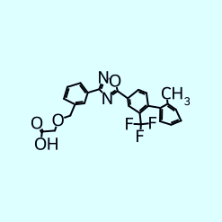 Cc1ccccc1-c1ccc(-c2nc(-c3cccc(COCC(=O)O)c3)no2)cc1C(F)(F)F